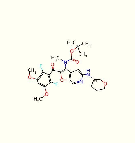 COc1cc(OC)c(F)c(C(=O)c2oc3cnc(N[C@H]4CCCOC4)cc3c2N(C)C(=O)OC(C)(C)C)c1F